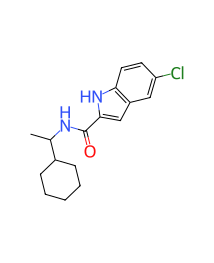 CC(NC(=O)c1cc2cc(Cl)ccc2[nH]1)C1CCCCC1